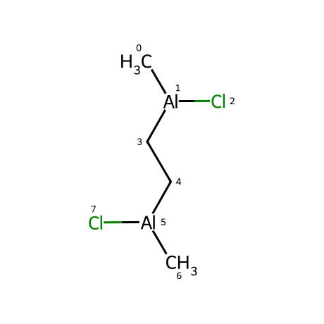 [CH3][Al]([Cl])[CH2][CH2][Al]([CH3])[Cl]